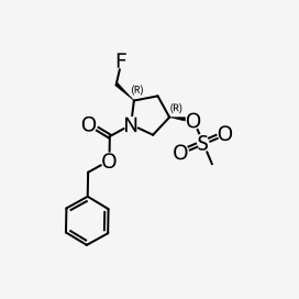 CS(=O)(=O)O[C@@H]1C[C@H](CF)N(C(=O)OCc2ccccc2)C1